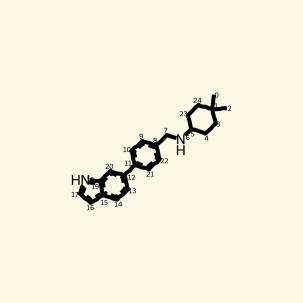 CC1(C)CCC(NCc2ccc(-c3ccc4cc[nH]c4c3)cc2)CC1